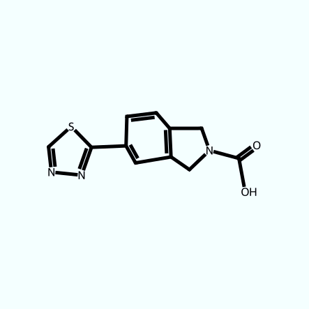 O=C(O)N1Cc2ccc(-c3nncs3)cc2C1